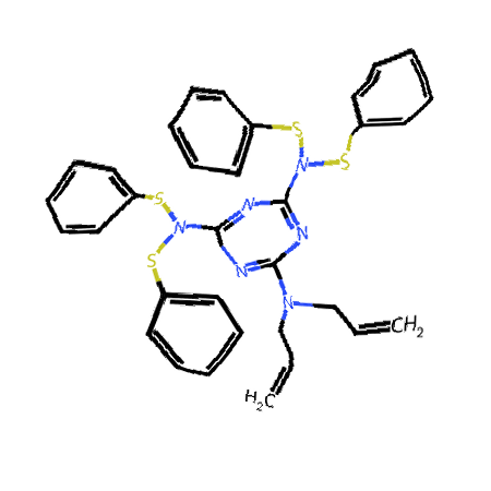 C=CCN(CC=C)c1nc(N(Sc2ccccc2)Sc2ccccc2)nc(N(Sc2ccccc2)Sc2ccccc2)n1